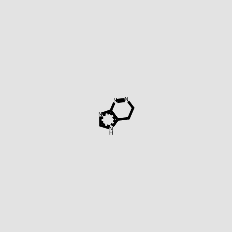 c1nc2c([nH]1)CCN=N2